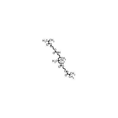 C=C(C)C(=O)OOCCOC(=O)NCCC(C)CC(C)(C)CNC(=O)OCCOOC(=O)C(=C)C